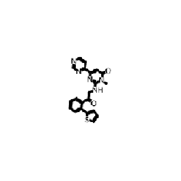 Cn1c(NCC(=O)c2ccccc2-c2cccs2)nc(-c2ccncn2)cc1=O